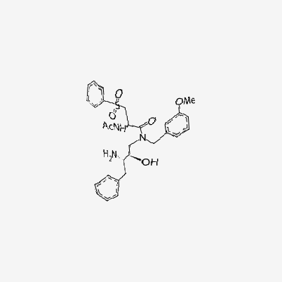 COc1cccc(CN(C[C@@H](O)[C@@H](N)Cc2ccccc2)C(=O)[C@H](CS(=O)(=O)c2ccccc2)NC(C)=O)c1